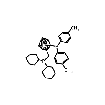 Cc1ccc(P(c2ccc(C)cc2)[C]23[CH]4[CH]5[CH]6[C@]2(CP(C2CCCCC2)C2CCCCC2)[Fe]54632789[CH]3[CH]2[CH]7[CH]8[CH]39)cc1